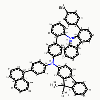 CC(C)(C)c1ccc(-c2cccc3c4ccccc4n(-c4ccccc4-c4ccc(N(c5ccc(-c6cccc7ccccc67)cc5)c5ccc6c(c5)C(C)(C)c5ccccc5-6)cc4)c23)cc1